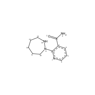 NC(=O)c1cccnc1N1CCCCCN1